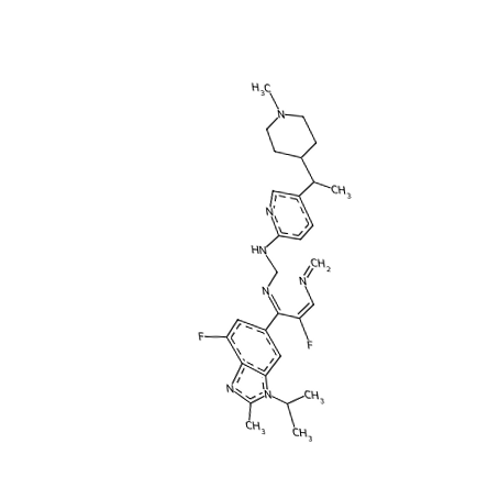 C=N/C=C(F)\C(=N/CNc1ccc(C(C)C2CCN(C)CC2)cn1)c1cc(F)c2nc(C)n(C(C)C)c2c1